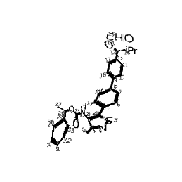 Cc1nsc(-c2ccc(-c3ccc([C@@H](OC=O)C(C)C)cc3)cc2)c1NC(=O)O[C@H](C)c1ccccc1